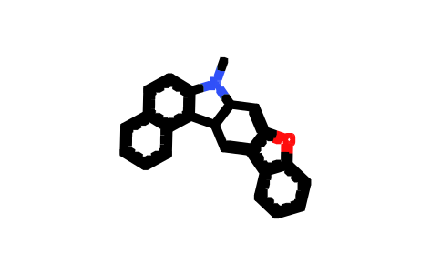 CN1c2ccc3ccccc3c2C2C=c3c(oc4ccccc34)=CC21